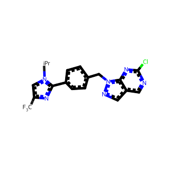 CC(C)n1cc(C(F)(F)F)nc1-c1ccc(Cn2ncc3cnc(Cl)nc32)cc1